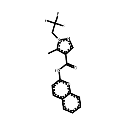 Cc1c(C(=O)Nc2ccc3ccccc3n2)cnn1CC(F)(F)F